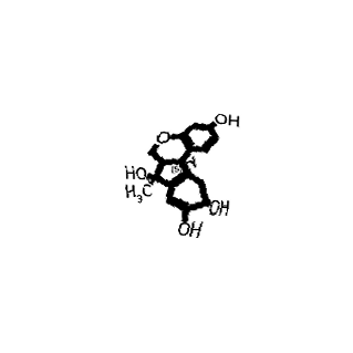 C[C@]1(O)C2=C(CC(O)C(O)=C2)[C@]2(I)c3ccc(O)cc3OCC12